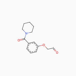 O=[C]COc1cccc(C(=O)N2CCCCC2)c1